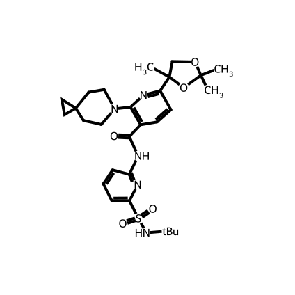 CC(C)(C)NS(=O)(=O)c1cccc(NC(=O)c2ccc(C3(C)COC(C)(C)O3)nc2N2CCC3(CC2)CC3)n1